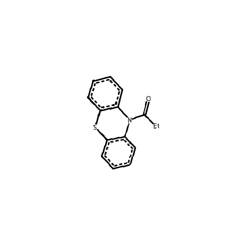 CCC(=O)N1c2ccccc2Sc2ccccc21